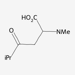 CNC(CC(=O)C(C)C)C(=O)O